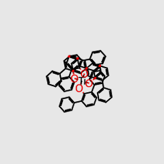 c1ccc(-c2cccc(-c3ccccc3)c2[O][Ti]([O]c2c(-c3ccccc3)cccc2-c2ccccc2)([O]c2c(-c3ccccc3)cccc2-c2ccccc2)[O]c2c(-c3ccccc3)cccc2-c2ccccc2)cc1